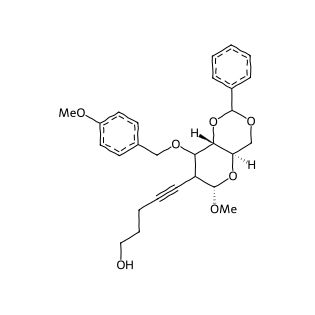 COc1ccc(COC2C(C#CCCCO)[C@@H](OC)O[C@@H]3COC(c4ccccc4)O[C@@H]23)cc1